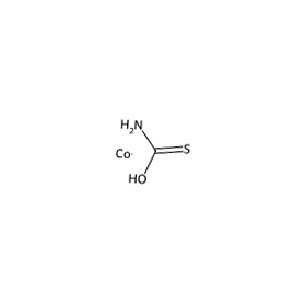 NC(O)=S.[Co]